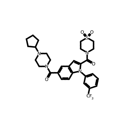 O=C(c1ccc2c(c1)cc(C(=O)N1CCS(=O)(=O)CC1)n2-c1cccc(C(F)(F)F)c1)N1CCN(C2CCCC2)CC1